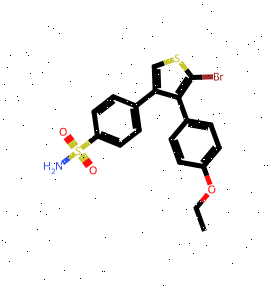 CCOc1ccc(-c2c(-c3ccc(S(N)(=O)=O)cc3)csc2Br)cc1